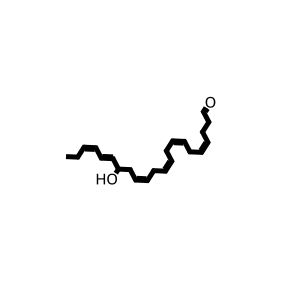 CC/C=C\C=C\C(O)C/C=C\C/C=C\C/C=C\C/C=C\CCC=O